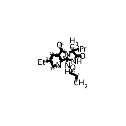 C=CCONC12NC(=O)C(C)(C(C)C)N1C(=O)c1cc(CC)cnc12